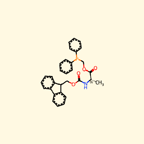 C[C@H](NC(=O)OCC1c2ccccc2-c2ccccc21)C(=O)OCP(c1ccccc1)c1ccccc1